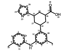 Cc1cc(Nc2nccc(C)n2)cc(C2CC(C(=O)O)CC(c3nccs3)C2)c1